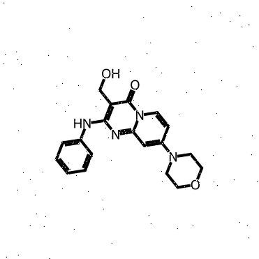 O=c1c(CO)c(Nc2ccccc2)nc2cc(N3CCOCC3)ccn12